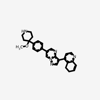 COC1(c2ccc(-c3cnc4c(-c5ccnc6c5CCC=C6)cnn4c3)cc2)CCNCC1